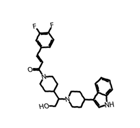 O=C(C=Cc1ccc(F)c(F)c1)N1CCC(C(CO)N2CCC(c3c[nH]c4ccccc34)CC2)CC1